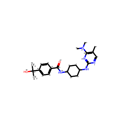 Cc1cnc(NC2CCC(NC(=O)c3ccc(C(O)(C(F)(F)F)C(F)(F)F)cc3)CC2)nc1N(C)C